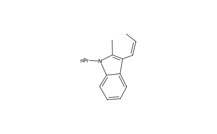 C/C=C\c1c(C)n(CCC)c2ccccc12